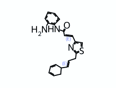 Nc1ccccc1NC(=O)/C=C/c1csc(C/C=C/C2C=CC=CC2)n1